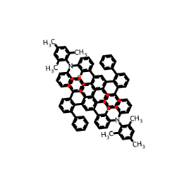 Cc1cc(C)c(N2c3ccccc3B3c4c(cccc42)-c2cc(-c4c(-c5ccccc5)cccc4-c4ccccc4)c4cc5c6c(cc(-c7c(-c8ccccc8)cccc7-c7ccccc7)c7cc3c2c4c76)-c2cccc3c2B5c2ccccc2N3c2c(C)cc(C)cc2C)c(C)c1